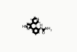 NC(=O)Nc1cccc(-c2n[nH]cc2-c2ccncc2)c1